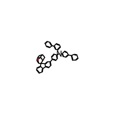 c1ccc(-c2ccc(N(c3ccc(-c4ccc5c(c4)C4(c6ccccc6-5)C5CC6CC(C5)CC4C6)cc3)c3cccc(-c4ccccc4)c3)cc2)cc1